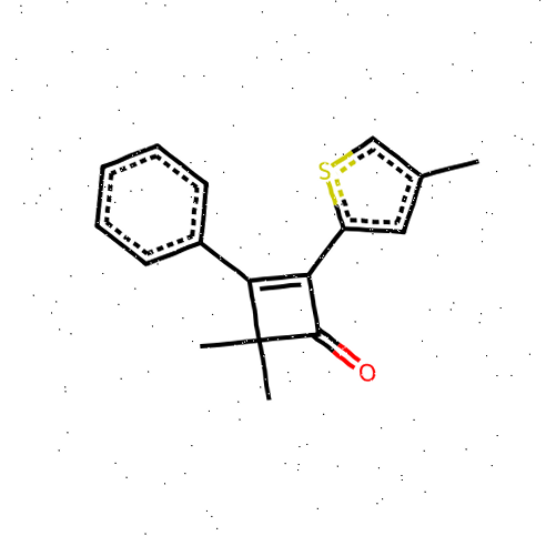 Cc1csc(C2=C(c3ccccc3)C(C)(C)C2=O)c1